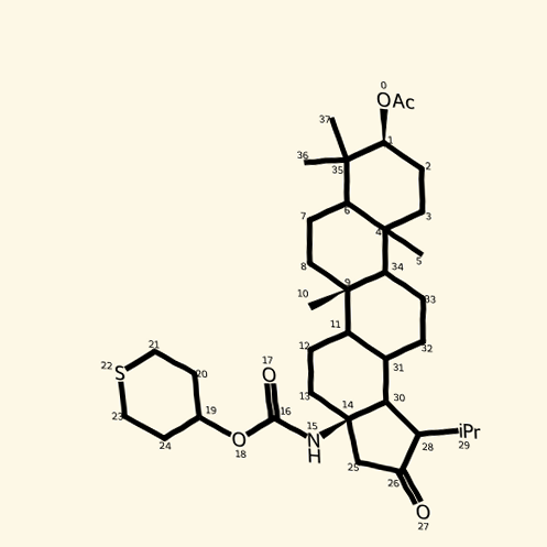 CC(=O)O[C@H]1CCC2(C)C(CC[C@@]3(C)C4CC[C@@]5(NC(=O)OC6CCSCC6)CC(=O)C(C(C)C)C5C4CCC23)C1(C)C